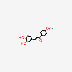 CCOc1ccc(C(=O)/C=C/c2ccc(O)c(O)c2)cc1